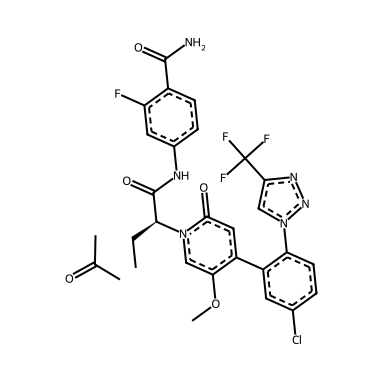 CC(C)=O.CC[C@@H](C(=O)Nc1ccc(C(N)=O)c(F)c1)n1cc(OC)c(-c2cc(Cl)ccc2-n2cc(C(F)(F)F)nn2)cc1=O